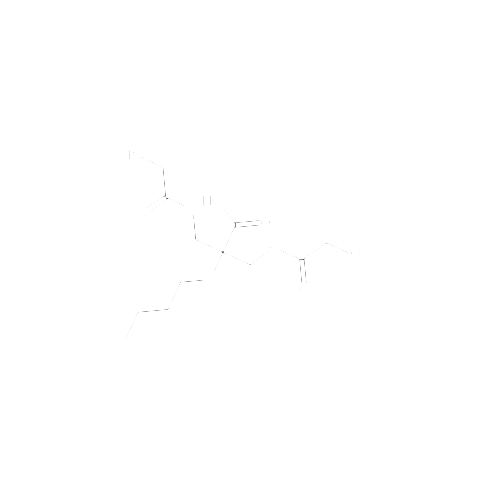 CCCCSC(COC(=O)CS)(COC(=O)CS)C(=O)O